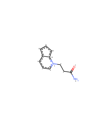 NC(=O)CCn1cccc2cccc1-2